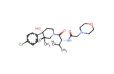 CC(C)[C@@H](NC(=O)CN1CCOCC1)C(=O)N1CC[C@](O)(c2ccc(Cl)cc2)C(C)(C)C1